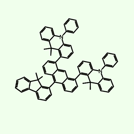 CC1(C)c2ccccc2-c2cccc(-c3c4cccc(-c5cccc6c5C(C)(C)c5ccccc5N6c5ccccc5)c4cc4c(-c5cccc6c5C(C)(C)c5ccccc5N6c5ccccc5)cccc34)c21